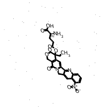 CCC1(OC(=O)CC[C@H](N)C(=O)O)C(=O)OCc2c1cc1n(c2=O)Cc2cc3c([N+](=O)[O-])cccc3nc2-1